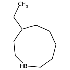 CCC1CCBCCCCC1